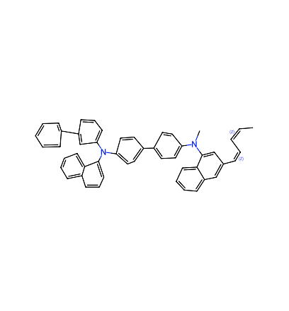 C/C=C\C=C/c1cc(N(C)c2ccc(-c3ccc(N(c4cccc(-c5ccccc5)c4)c4cccc5ccccc45)cc3)cc2)c2ccccc2c1